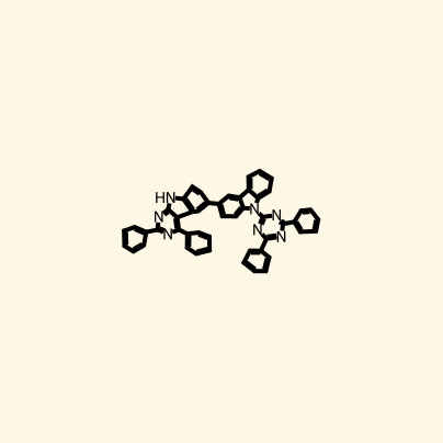 c1ccc(-c2nc(-c3ccccc3)nc(-n3c4ccccc4c4cc(-c5ccc6[nH]c7nc(-c8ccccc8)nc(-c8ccccc8)c7c6c5)ccc43)n2)cc1